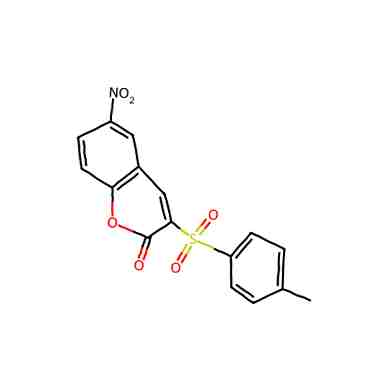 Cc1ccc(S(=O)(=O)c2cc3cc([N+](=O)[O-])ccc3oc2=O)cc1